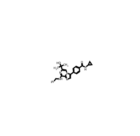 CC(C)CNc1nc(C(C)(C)O)cn2c(-c3ccc(C(=O)NC4CC4)cc3)cnc12